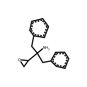 NC(Cc1ccccc1)(Cc1ccccc1)C1CO1